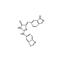 O=C1NC(Nc2ccc3ncsc3c2)=NC1=Cc1ccc2cn[nH]c2c1